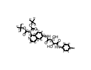 Cc1ccc(NC(=O)[C@H](O)[C@@H](O)C(=O)Nc2ccc3c(N(C(=O)OC(C)(C)C)C(=O)OC(C)(C)C)nccc3c2)cc1